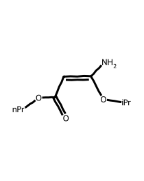 CCCOC(=O)C=C(N)OC(C)C